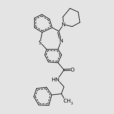 CC(CNC(=O)c1ccc2c(c1)N=C(N1CCCCC1)c1ccccc1S2)c1ccccc1